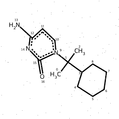 CC(C)(C1CCCCC1)n1ccc(N)nc1=O